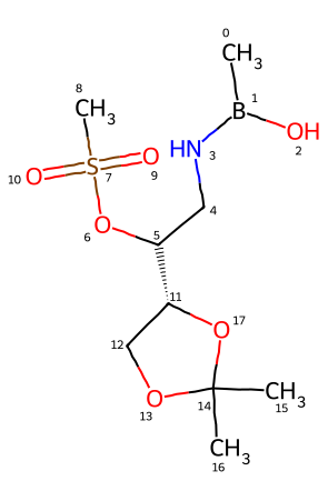 CB(O)NCC(OS(C)(=O)=O)[C@H]1COC(C)(C)O1